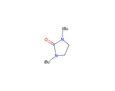 CCC(C)N1CCN(C(C)(C)C)C1=O